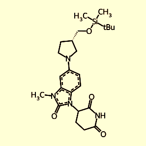 Cn1c(=O)n(C2CCC(=O)NC2=O)c2ccc(N3CC[C@H](CO[Si](C)(C)C(C)(C)C)C3)cc21